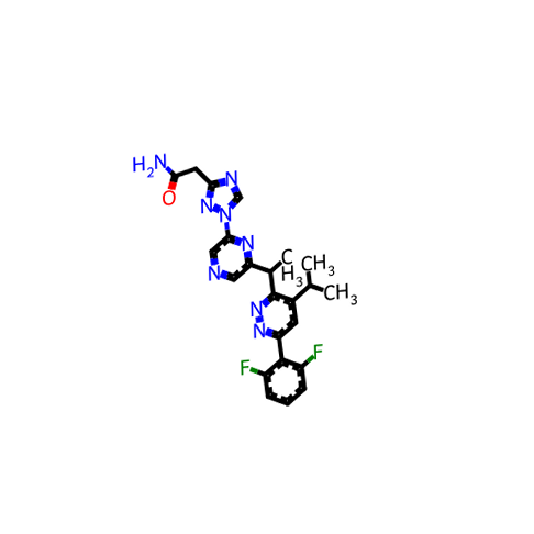 CC(C)c1cc(-c2c(F)cccc2F)nnc1C(C)c1cncc(-n2cnc(CC(N)=O)n2)n1